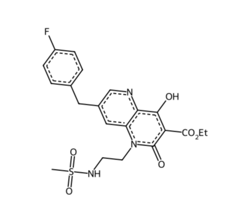 CCOC(=O)c1c(O)c2ncc(Cc3ccc(F)cc3)cc2n(CCNS(C)(=O)=O)c1=O